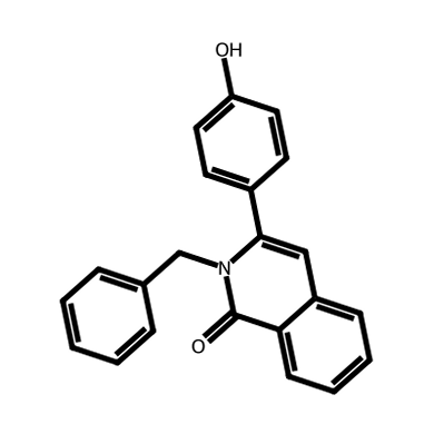 O=c1c2ccccc2cc(-c2ccc(O)cc2)n1Cc1ccccc1